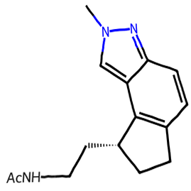 CC(=O)NCC[C@H]1CCc2ccc3nn(C)cc3c21